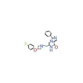 O=c1[nH]c(CCN2CC(Oc3ccc(F)cc3)C2)cn2c(-c3ccccc3)ncc12